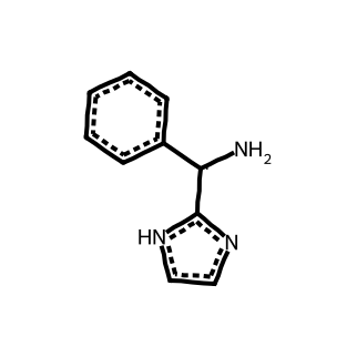 N[C](c1ccccc1)c1ncc[nH]1